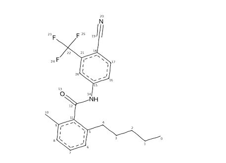 CCCCCc1cccc(C)c1C(=O)Nc1ccc(C#N)c(C(F)(F)F)c1